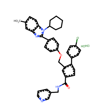 Cl.Cl.O=C(O)c1ccc2c(c1)nc(-c1ccc(OCc3cc(C(=O)NCc4cccnc4)ccc3-c3ccc(Cl)cc3)cc1)n2C1CCCCC1